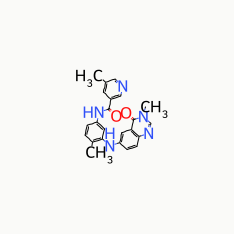 Cc1cncc(C(=O)Nc2ccc(C)c(Nc3ccc4ncn(C)c(=O)c4c3)c2)c1